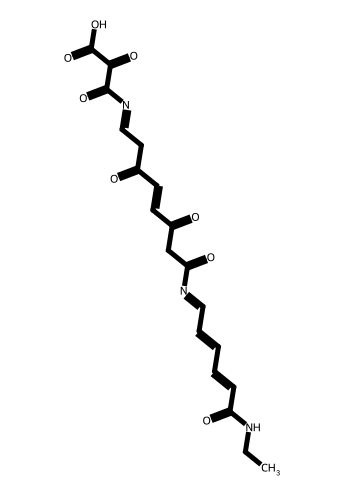 CCNC(=O)C=CC=CC=NC(=O)CC(=O)C=CC(=O)CC=NC(=O)C(=O)C(=O)O